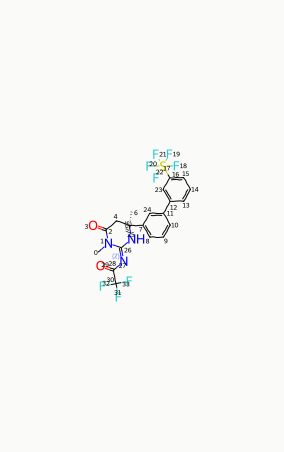 CN1C(=O)C[C@@](C)(c2cccc(-c3cccc(S(F)(F)(F)(F)F)c3)c2)N/C1=N/C(=O)C(F)(F)F